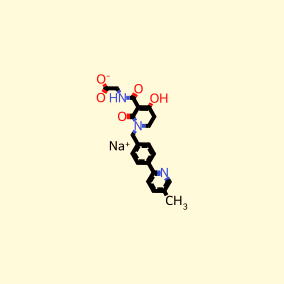 Cc1ccc(-c2ccc(CN3CCC(O)=C(C(=O)NCC(=O)[O-])C3=O)cc2)nc1.[Na+]